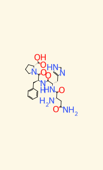 NC(=O)C[C@H](N)C(=O)N[C@@H](Cc1c[nH]cn1)C(=O)N[C@@H](Cc1ccccc1)C(=O)N1CCC[C@@H]1C(=O)O